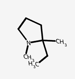 CCC1(C)CCCN1C